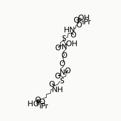 CC(C)P(=O)(O)OCCCCCNC(=O)CCSC1CC(=O)N(CCOCCOCCN2C(=O)CC(SCCC(=O)NCCOP(=O)(O)C(C)C)C2O)C1=O